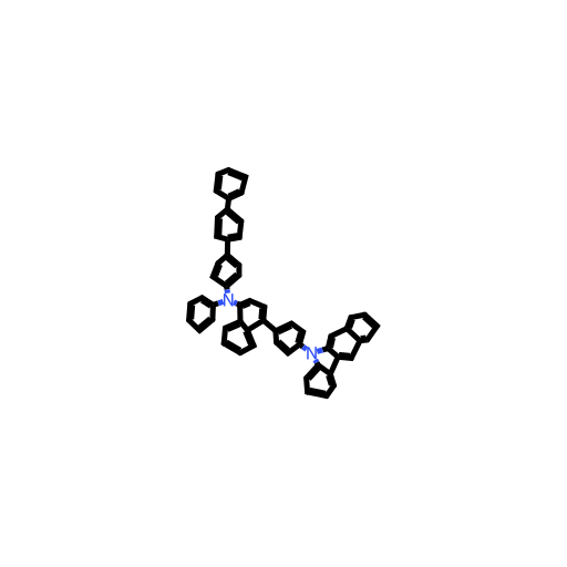 c1ccc(-c2ccc(-c3ccc(N(c4ccccc4)c4ccc(-c5ccc(-n6c7ccccc7c7cc8ccccc8cc76)cc5)c5ccccc45)cc3)cc2)cc1